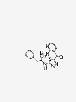 Nc1ncccc1C(=O)c1nnc(NC(=O)Cc2ccccc2)s1